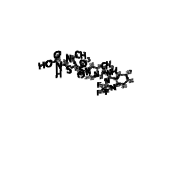 Cc1nc(NC(=O)O)sc1S(=O)(=O)N1CCN(C[C@H](C)Nc2nc(C(F)(F)F)nc3ccccc23)CC1